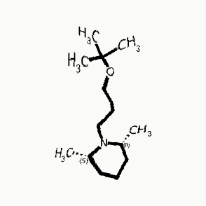 C[C@@H]1CCC[C@H](C)N1CCCOC(C)(C)C